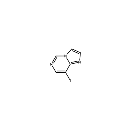 Ic1cncn2ccnc12